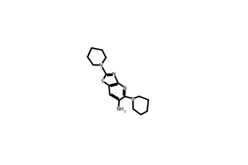 Nc1cc2sc(N3CCCCC3)nc2nc1N1CCCCC1